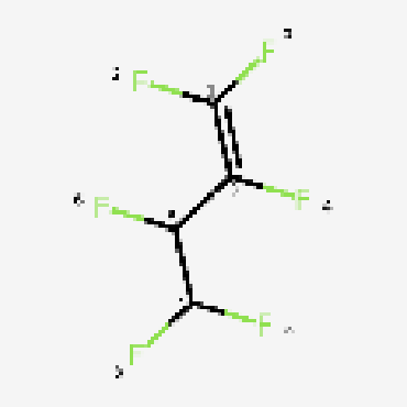 FC(F)=C(F)C(F)C(F)F